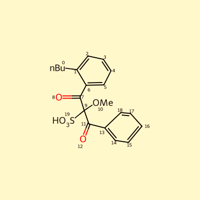 CCCCc1ccccc1C(=O)C(OC)(C(=O)c1ccccc1)S(=O)(=O)O